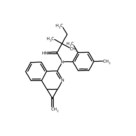 C=C1C2N=C(N(C(=N)C(C)(C)CC)c3ccc(C)cc3C)c3ccccc3C12